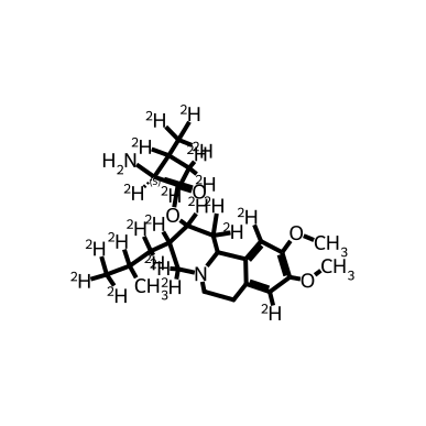 [2H]c1c2c(c([2H])c(OC)c1OC)C1N(CC2)C([2H])([2H])C([2H])(C([2H])([2H])C([2H])(C)C([2H])([2H])[2H])C([2H])(OC(=O)[C@@]([2H])(N)C([2H])(C([2H])([2H])[2H])C([2H])([2H])[2H])C1([2H])[2H]